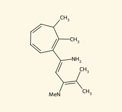 CNC(/C=C(\N)C1=C(C)C(C)C=CC=C1)=C(C)C